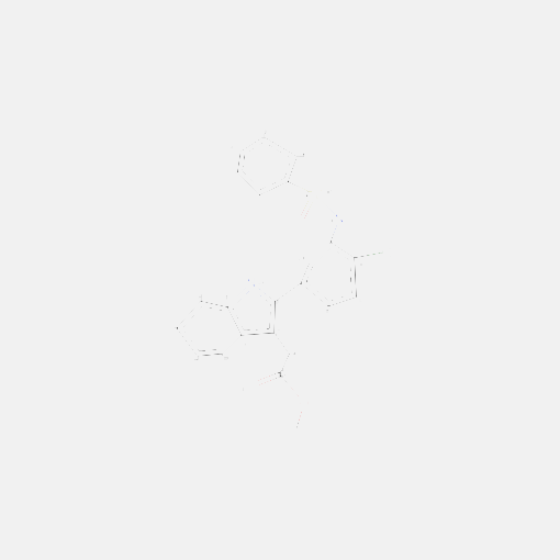 COC(=O)Cc1c(-c2ccc(Cl)c(NS(=O)(=O)c3ccccc3)c2)[nH]c2ccccc12